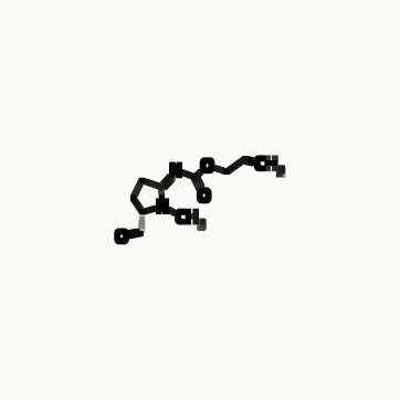 C=CCOC(=O)N=C1CC[C@@H](C=O)N1C